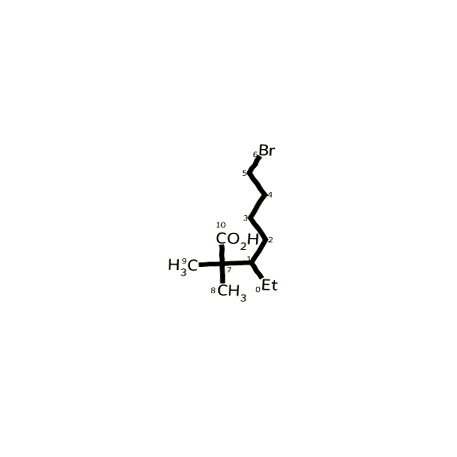 CCC(CCCCBr)C(C)(C)C(=O)O